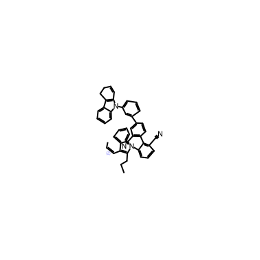 C/C=C\c1c(CCC)n(-c2cccc(C#N)c2-c2ccc(-c3cccc(-n4c5c(c6ccccc64)CCC=C5)c3)cc2C#N)c2ccccc12